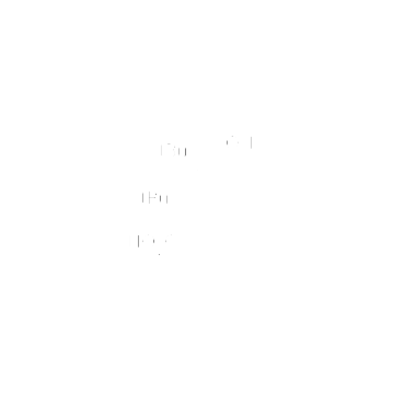 Cc1cc(C(C)C(=O)O)c(C(C)(C)C)c(C(C)(C)C)c1O